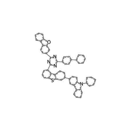 c1ccc(-c2ccc(-c3nc(-c4ccc5c(c4)oc4ccccc45)nc(-c4cccc5sc6cc(-c7ccc8c(c7)c7ccccc7n8-c7ccccc7)ccc6c45)n3)cc2)cc1